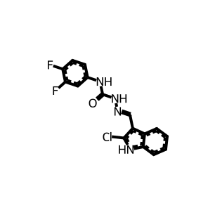 O=C(NN=Cc1c(Cl)[nH]c2ccccc12)Nc1ccc(F)c(F)c1